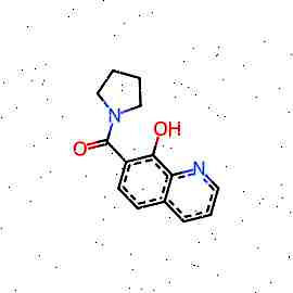 O=C(c1ccc2cccnc2c1O)N1CCCC1